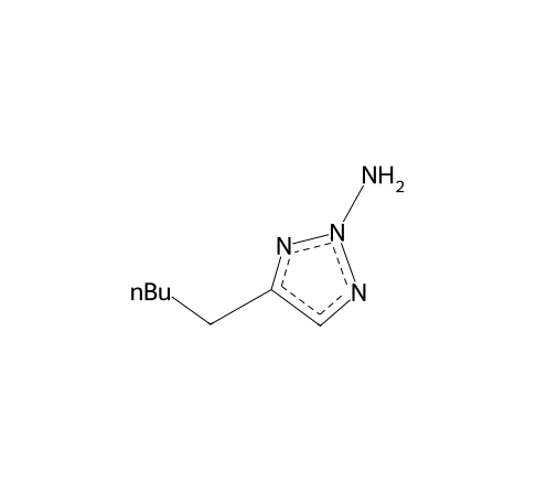 CCCCCc1cnn(N)n1